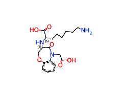 NCCCCCC[C@H](N[C@H]1COc2ccccc2N(CC(=O)O)C1=O)C(=O)O